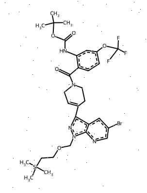 CC(C)(C)OC(=O)Nc1cc(OC(F)(F)F)ccc1C(=O)N1CC=C(c2nn(COCC[Si](C)(C)C)c3ncc(Br)cc23)CC1